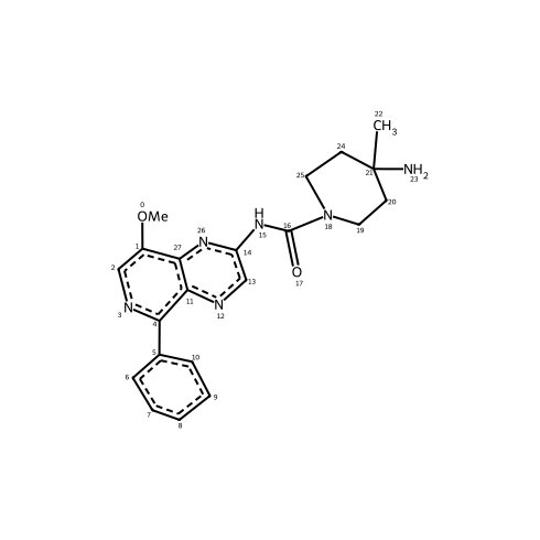 COc1cnc(-c2ccccc2)c2ncc(NC(=O)N3CCC(C)(N)CC3)nc12